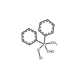 CCOP(C)(C=O)(c1ccccc1)c1ccccc1